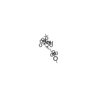 Cc1ccc(S(=O)(=O)OCCC[C@@H](C[C@@H](NC(=O)OC(C)(C)C)C(=O)O)C(=O)O)cc1